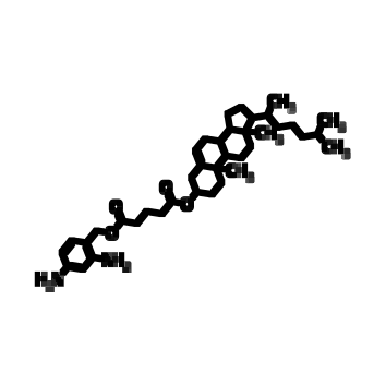 CC(C)CCCC(C)C1CCC2C3CC=C4CC(OC(=O)CCCC(=O)OCc5ccc(N)cc5N)CCC4(C)C3CCC12C